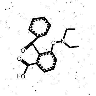 CCN(CC)Oc1cccc(C(=O)O)c1C(=O)c1ccccc1